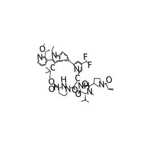 C=CC(=O)N1CCC(C(=O)N(C)[C@H](C(=O)N[C@H]2Cc3cc(C(F)F)cc(n3)-c3ccc4c(c3)c(c(-c3cccnc3[C@H](C)OC)n4CC)CC(C)(C)COC(=O)[C@@H]3CCCN(N3)C2=O)C(C)C)C1